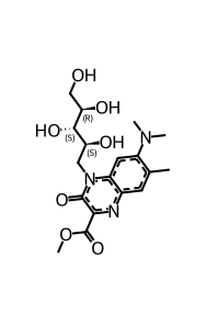 COC(=O)c1nc2cc(C)c(N(C)C)cc2n(C[C@H](O)[C@H](O)[C@H](O)CO)c1=O